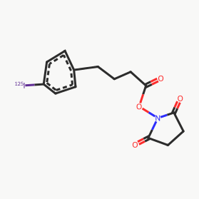 O=C(CCCc1ccc([125I])cc1)ON1C(=O)CCC1=O